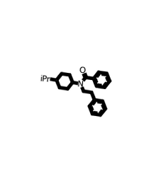 CC(C)C1CCC(N(CCc2ccccc2)C(=O)c2ccccc2)CC1